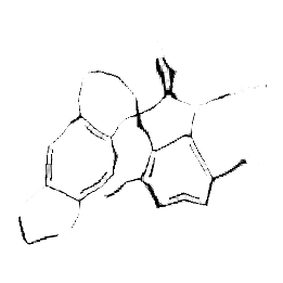 CCCCCN1C(=O)C2(COc3cc4c(cc32)OCO4)c2c(Cl)ccc(Cl)c21